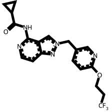 O=C(Nc1nccc2nn(Cc3ccc(OCCC(F)(F)F)nc3)cc12)C1CC1